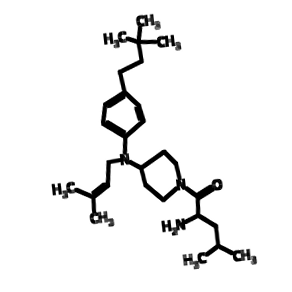 CC(C)=CCN(c1ccc(CCC(C)(C)C)cc1)C1CCN(C(=O)C(N)CC(C)C)CC1